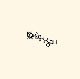 C/C(=N\OCCCCC(=O)O)c1cccnc1